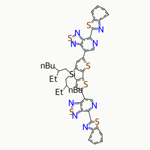 CCCCC(CC)C[Si]1(CC(CC)CCCC)c2cc(-c3cnc(-c4nc5ccccc5s4)c4nsnc34)sc2-c2sc(-c3cnc(-c4nc5ccccc5s4)c4nsnc34)cc21